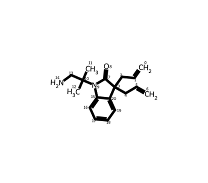 C=CCC1(CC=C)C(=O)N(C(C)(C)CN)c2ccccc21